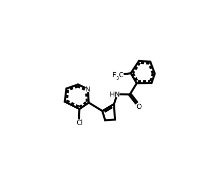 O=C(NC1=C(c2ncccc2Cl)CC1)c1ccccc1C(F)(F)F